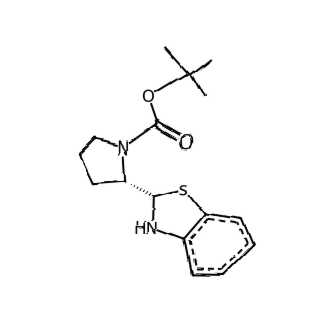 CC(C)(C)OC(=O)N1CCC[C@H]1C1Nc2ccccc2S1